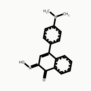 CN(C)c1ccc(C2=CC(=NO)C(=O)c3ccccc32)cc1